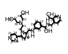 CCc1cnccc1CNC(O)c1cccc(NCc2nnc(-c3ccncn3)n2CCN(CCO)CCO)c1